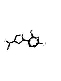 Fc1nc(Cl)ccc1C1CC(C(F)F)CO1